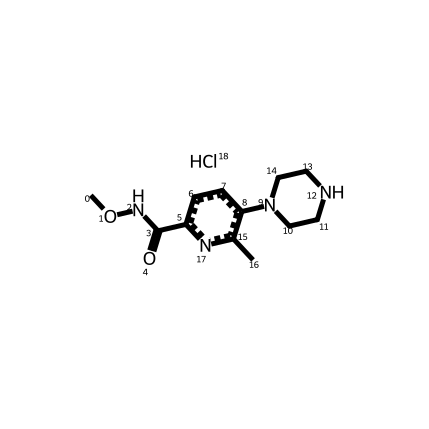 CONC(=O)c1ccc(N2CCNCC2)c(C)n1.Cl